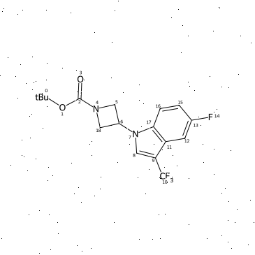 CC(C)(C)OC(=O)N1CC(n2cc(C(F)(F)F)c3cc(F)ccc32)C1